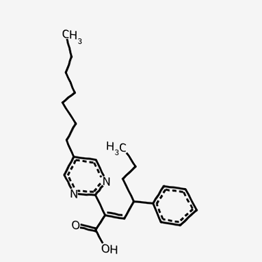 CCCCCCCc1cnc(/C(=C\C(CCC)c2ccccc2)C(=O)O)nc1